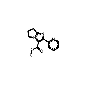 COC(=O)c1c(-c2ccccn2)nc2n1CCC2